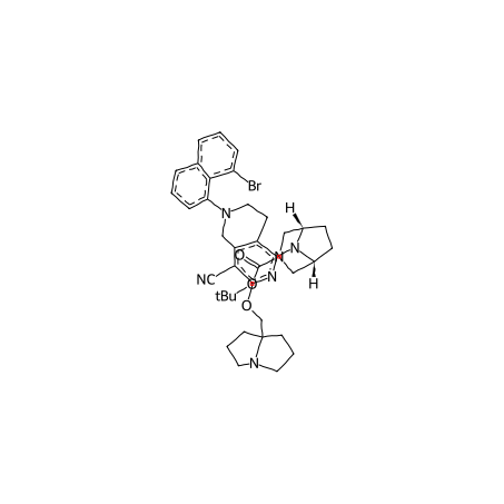 CC(C)(C)OC(=O)N1C[C@H]2CC[C@@H](C1)N2c1nc(OCC23CCCN2CCC3)c(C#N)c2c1CCN(c1cccc3cccc(Br)c13)C2